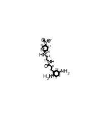 Nc1ccc(N)c(C=CC(=O)NCCNc2ccc([N+](=O)[O-])cn2)c1